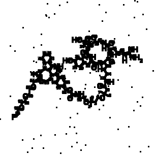 CC(C)(CCOC(C)(C)CC(=O)NCCCCC1NC(=O)[C@@H](Cc2ccc(O)cc2)NC(=O)[C@H](CC(=O)O)NC(=O)CNC(=O)[C@H](CCCNC(=N)N)NC1=O)OCCNC(=O)OCc1ccc(C2=NNC(c3ccccc3)=C3CC[C@H]4C(CCC23)C4COCCOCCOCCF)cc1